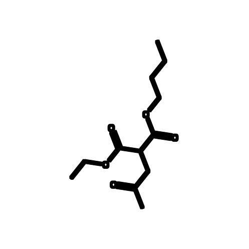 CCCCOC(=O)C(CC(C)=O)C(=O)OCC